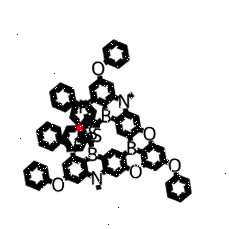 CN1c2cc3c(cc2B2c4sc5ccccc5c4N(c4ccccc4)c4cc(Oc5ccccc5)cc1c42)B1c2cc4c(cc2Oc2cc(Oc5ccccc5)cc(c21)O3)N(C)c1cc(Oc2ccccc2)cc2c1B4c1sc3ccccc3c1N2c1ccccc1